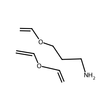 C=COC=C.C=COCCCN